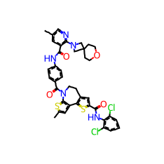 Cc1cnc(N2CC3(CCOCC3)C2)c(C(=O)Nc2ccc(C(=O)N3CCc4cc(C(=O)Nc5c(Cl)cccc5Cl)sc4-c4cc(C)sc43)cc2)c1